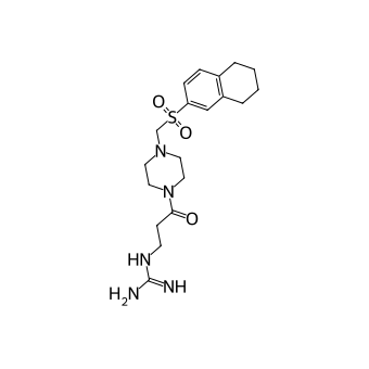 N=C(N)NCCC(=O)N1CCN(CS(=O)(=O)c2ccc3c(c2)CCCC3)CC1